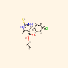 C=CCOC(=O)C1=C(C)NC(=S)NC1c1ccc(Cl)cc1